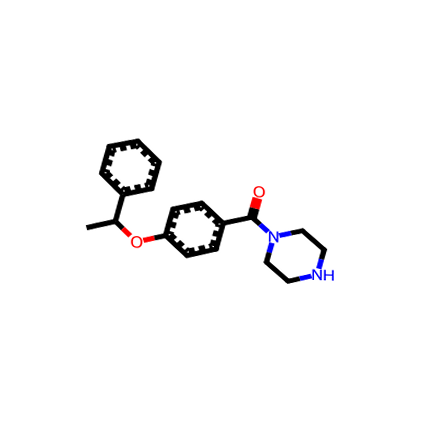 CC(Oc1ccc(C(=O)N2CCNCC2)cc1)c1ccccc1